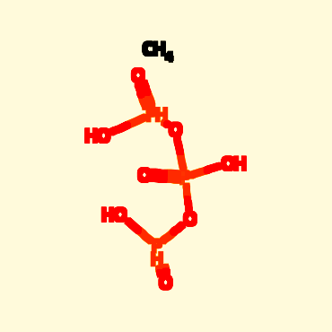 C.O=[PH](O)OP(=O)(O)O[PH](=O)O